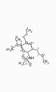 [CH2]CCN(OC(CCOC)CNS(C)(=O)=O)C(=O)C(C)C